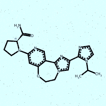 CC(C)n1ccnc1-c1cn2c(n1)-c1cnc(N3CCC[C@H]3C(N)=O)cc1OCC2